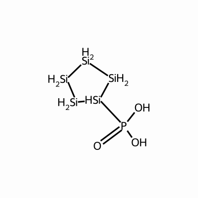 O=P(O)(O)[SiH]1[SiH2][SiH2][SiH2][SiH2]1